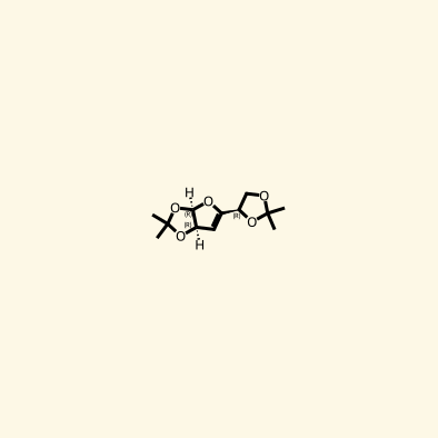 CC1(C)OC[C@H](C2=C[C@H]3OC(C)(C)O[C@H]3O2)O1